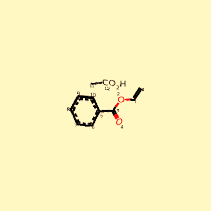 C=COC(=O)c1ccccc1.CC(=O)O